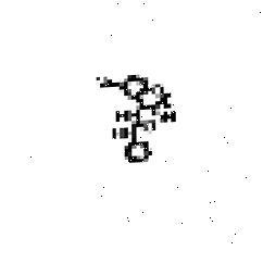 CC1(C)Oc2ccc(C#N)cc2C(NC(=O)Nc2ccccc2)C1O